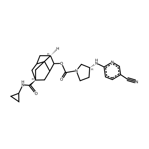 N#Cc1ccc(N[C@@H]2CCN(C(=O)OC3C4CC5C[C@@H]3C[C@@](C(=O)NC3CC3)(C5)C4)C2)nc1